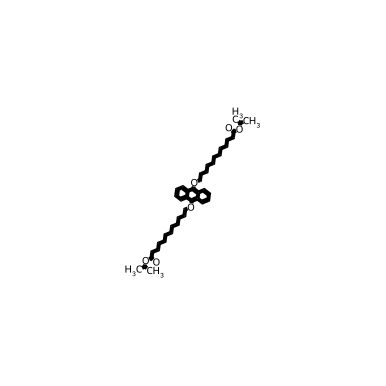 CC(C)OC(=O)CCCCCCCCCCCOc1c2ccccc2c(OCCCCCCCCCCCC(=O)OC(C)C)c2ccccc12